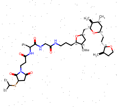 C=C1CCO[C@H]1CC[C@H]1C[C@@H](C)C(=C)[C@@H](C[C@H]2C[C@@H](OC)[C@@H](CCCNC(=O)CNC(=O)C(NC(=O)CCN3C(=O)CC(SC(CC)CC)C3=O)C(C)C)O2)O1